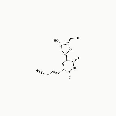 N#CCC=Cc1cn([C@H]2C[C@H](O)[C@@H](CO)O2)c(=O)[nH]c1=O